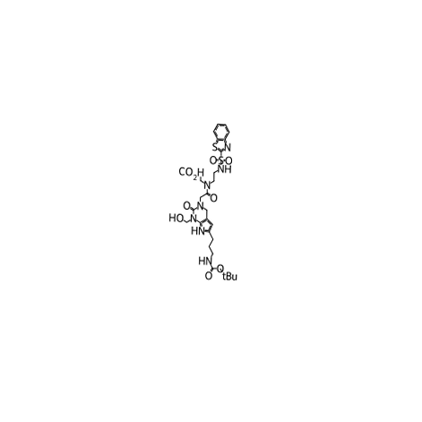 CC(C)(C)OC(=O)NCCCc1cc2c([nH]1)N(CO)C(=O)N(CC(=O)N(CCNS(=O)(=O)c1nc3ccccc3s1)CC(=O)O)C2